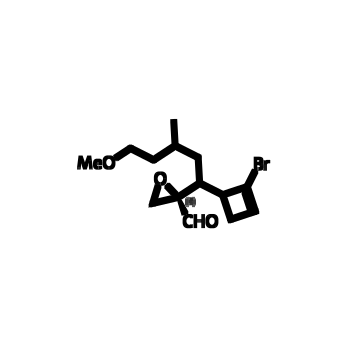 COCCC(C)CC(C1CC=C1Br)[C@]1(C=O)CO1